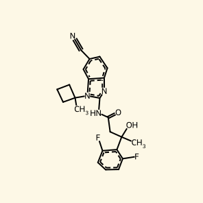 CC(O)(CC(=O)Nc1nc2ccc(C#N)cc2n1C1(C)CCC1)c1c(F)cccc1F